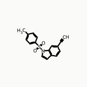 C#Cc1ccc2ccn(S(=O)(=O)c3ccc(C)cc3)c2c1